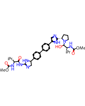 COC(=O)NC(C(=O)NC1=NCC(c2ccc(-c3ccc(-c4cnc([C@@H]5CCCN5C(O)[C@@H](NC(=O)OC)C(C)C)[nH]4)cc3)cc2)N1)C(C)C